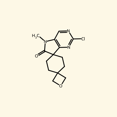 CN1C(=O)C2(CCC3(CC2)COC3)c2nc(Cl)ncc21